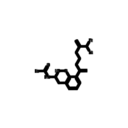 C=C(CCCC(=C)C(CC)CC)c1cccc2c1OBC(NC(=O)CC)C2